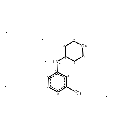 Cc1cccc(NC2CCOCC2)c1